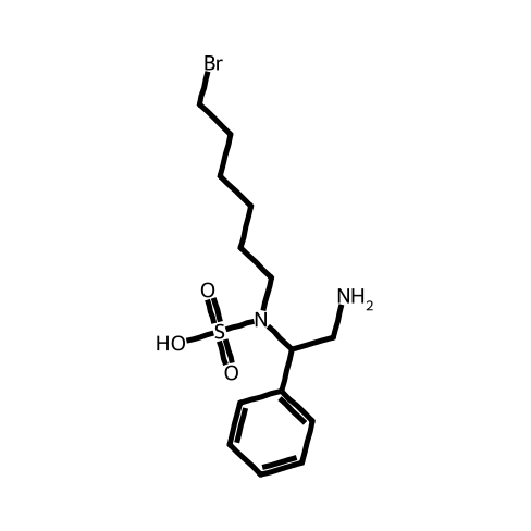 NCC(c1ccccc1)N(CCCCCCBr)S(=O)(=O)O